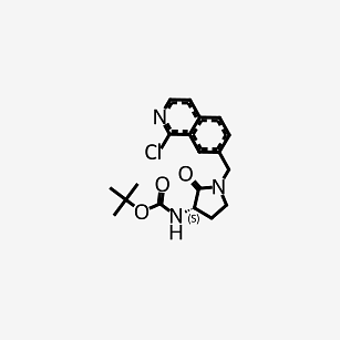 CC(C)(C)OC(=O)N[C@H]1CCN(Cc2ccc3ccnc(Cl)c3c2)C1=O